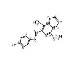 Nc1c(N=Nc2ccc(I)cc2)cc(S(=O)(=O)O)c2ccccc12